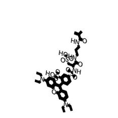 C=C(C)C(=O)NCCCNC(=O)C(CS(=O)(=O)O)NS(=O)(=O)c1ccc(-c2c3ccc(=[N+](CC)CC)cc-3oc3cc(N(CC)CC)ccc23)c(S(=O)(=O)O)c1